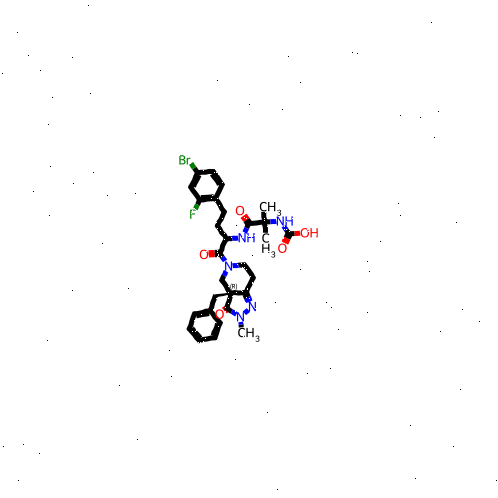 CN1N=C2CCN(C(=O)C(CCc3ccc(Br)cc3F)NC(=O)C(C)(C)NC(=O)O)C[C@@]2(Cc2ccccc2)C1=O